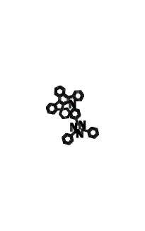 c1ccc(-c2nc(-c3ccccc3)nc(-c3ccc(-n4c5ccccc5c5c6ccccc6c6c(c54)C4(CCCCC4)c4ccccc4-6)cc3)n2)cc1